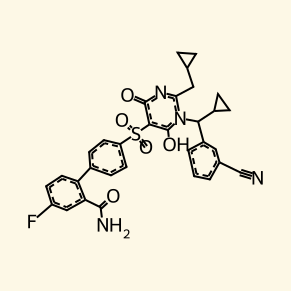 N#Cc1cccc(C(C2CC2)n2c(CC3CC3)nc(=O)c(S(=O)(=O)c3ccc(-c4ccc(F)cc4C(N)=O)cc3)c2O)c1